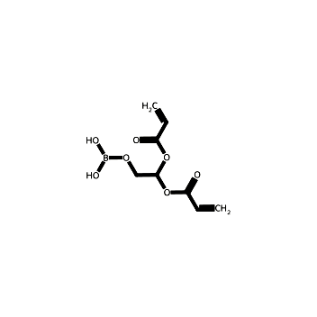 C=CC(=O)OC(COB(O)O)OC(=O)C=C